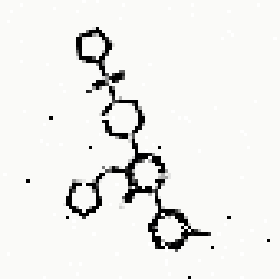 O=c1c(OC2CCCC2)c(N2CCN(S(=O)(=O)C3CCCC3)CC2)cnn1-c1cccc(F)c1